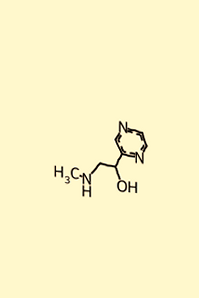 CNCC(O)c1cnccn1